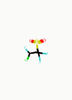 O=[SH](=O)C(F)(F)C(F)Cl